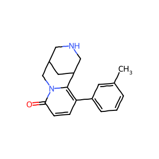 Cc1cccc(-c2ccc(=O)n3c2C2CNCC(C2)C3)c1